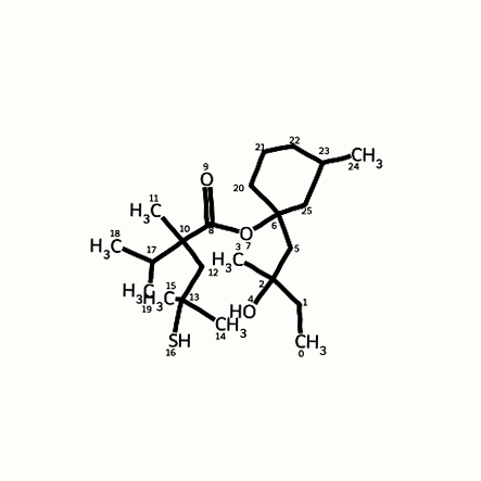 CCC(C)(O)CC1(OC(=O)C(C)(CC(C)(C)S)C(C)C)CCCC(C)C1